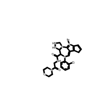 O=C(NCC(=O)N1CCOCC1)C1C2NNCN2C2=S(Br)C3=C(CC=C3)C2=CN1c1ccccc1Cl